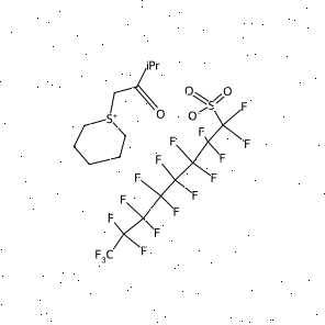 CC(C)C(=O)C[S+]1CCCCC1.O=S(=O)([O-])C(F)(F)C(F)(F)C(F)(F)C(F)(F)C(F)(F)C(F)(F)C(F)(F)C(F)(F)F